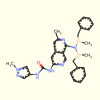 CB(Cc1ccccc1)N(B(C)Cc1ccccc1)c1nc(C)cc2cc(NC(=O)Nc3cnn(C)c3)ncc12